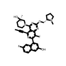 CC#Cc1nc(-c2cc(O)cc3ccc(F)cc23)c(F)c2nc(OC[C@@H]3CCCN3C)nc(N3CCC[C@@](C)(O)C3)c12